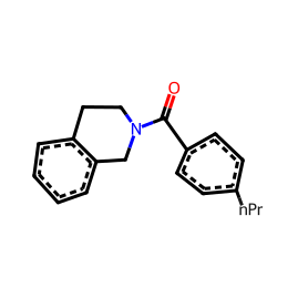 CCCc1ccc(C(=O)N2CCc3ccccc3C2)cc1